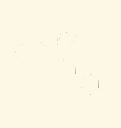 Fc1ccc(C=CNc2ccccc2C=Cc2ccccc2)cc1